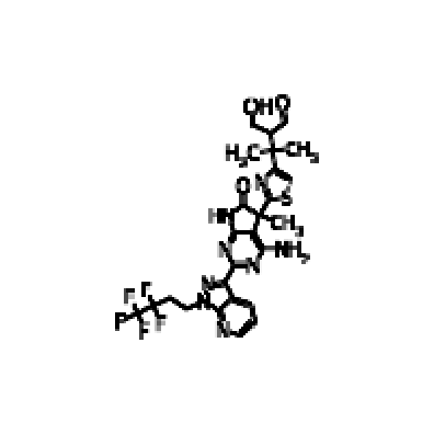 CC1(c2nc(C(C)(C)C(C=O)CO)cs2)C(=O)Nc2nc(-c3nn(CCC(F)(F)C(F)(F)F)c4ncccc34)nc(N)c21